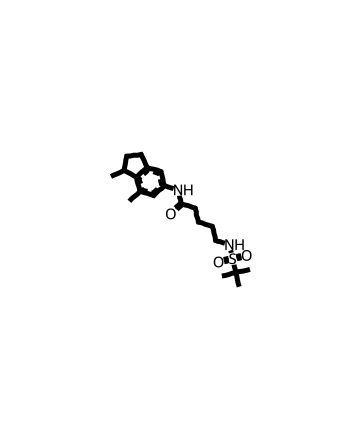 Cc1cc(NC(=O)CCCCNS(=O)(=O)C(C)(C)C)cc2c1C(C)CC2